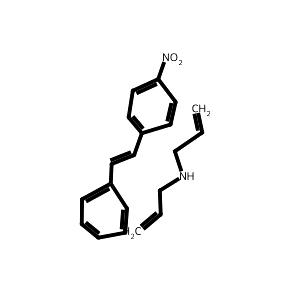 C=CCNCC=C.O=[N+]([O-])c1ccc(C=Cc2ccccc2)cc1